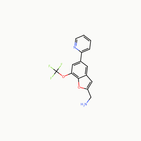 NCc1cc2cc(-c3cc[c]cn3)cc(OC(F)(F)F)c2o1